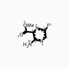 COC(=O)c1nc(F)cnc1N